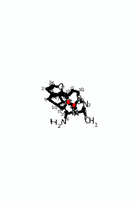 Cc1nsc(N2CC3CCC(C2)C3[N+]23N=C(N)N=C2N=CC=C3c2ccco2)n1